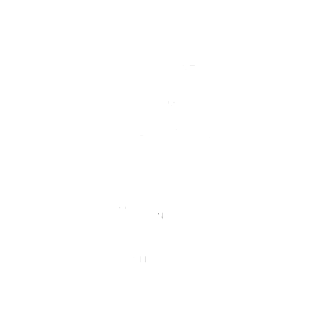 CCOC(=O)/C(F)=C/c1coc(C)n1